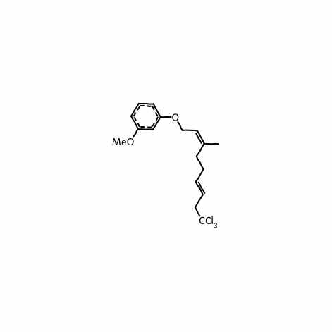 COc1cccc(OCC=C(C)CCC=CCC(Cl)(Cl)Cl)c1